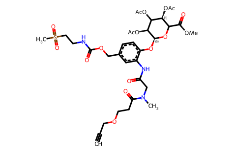 C#CCOCCC(=O)N(C)CC(=O)Nc1cc(COC(=O)NCCS(C)(=O)=O)ccc1O[C@@H]1OC(C(=O)OC)[C@H](OC(C)=O)C(OC(C)=O)C1OC(C)=O